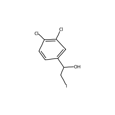 OC(CI)c1ccc(Cl)c(Cl)c1